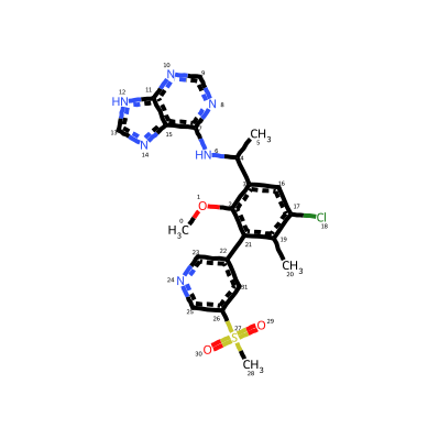 COc1c(C(C)Nc2ncnc3[nH]cnc23)cc(Cl)c(C)c1-c1cncc(S(C)(=O)=O)c1